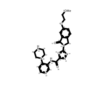 COCCOc1ccc2c(c1)C(=O)N(c1nnc(C(=O)Nc3cnccc3N3CCNCC3)o1)C2